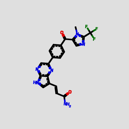 Cn1c(C(=O)c2ccc(-c3cnc4[nH]cc(C=CC(N)=O)c4n3)cc2)cnc1C(F)(F)F